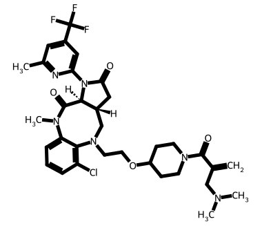 C=C(CN(C)C)C(=O)N1CCC(OCCN2C[C@H]3CC(=O)N(c4cc(C(F)(F)F)cc(C)n4)[C@@H]3C(=O)N(C)c3cccc(Cl)c32)CC1